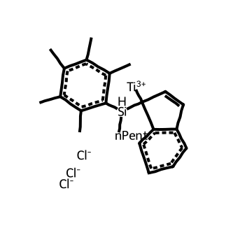 CCCCC[SiH](c1c(C)c(C)c(C)c(C)c1C)[C]1([Ti+3])C=Cc2ccccc21.[Cl-].[Cl-].[Cl-]